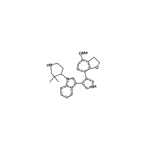 COc1ccc(-c2c[nH]cc2-c2cn(C3CCNCC3(C)C)c3ccccc23)c2c1CCO2